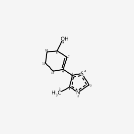 Cc1ncsc1C1=CC(O)CCC1